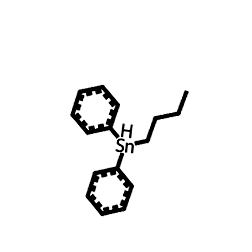 CCC[CH2][SnH]([c]1ccccc1)[c]1ccccc1